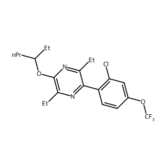 CCCC(CC)Oc1nc(CC)c(-c2ccc(OC(F)(F)F)cc2Cl)nc1CC